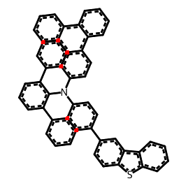 c1ccc(-c2cccc(-c3ccccc3)c2N(c2ccc(-c3ccc4sc5ccccc5c4c3)cc2)c2ccc3c4ccccc4c4ccccc4c3c2)cc1